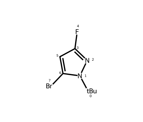 CC(C)(C)n1nc(F)cc1Br